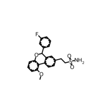 COc1cccc2c1-c1ccc(CCS(N)(=O)=O)cc1C(c1cccc(F)c1)O2